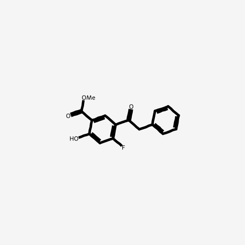 COC(=O)c1cc(C(=O)Cc2ccccc2)c(F)cc1O